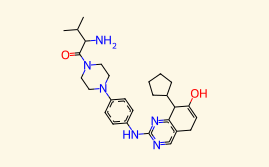 CC(C)C(N)C(=O)N1CCN(c2ccc(Nc3ncc4c(n3)C(C3CCCC3)C(O)=CC4)cc2)CC1